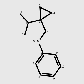 CC(C)C1(CSc2ccccc2)CC1